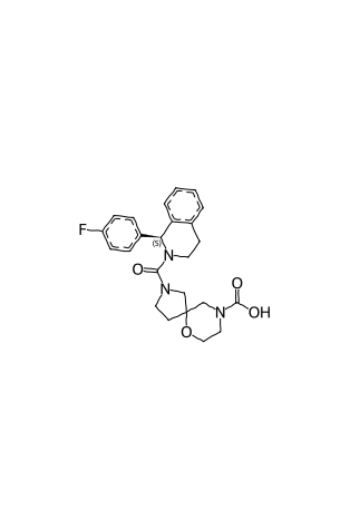 O=C(O)N1CCOC2(CCN(C(=O)N3CCc4ccccc4[C@@H]3c3ccc(F)cc3)C2)C1